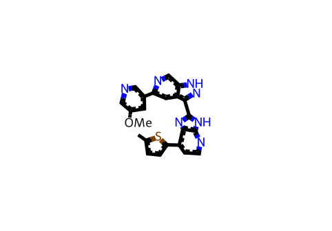 COc1cncc(-c2cc3c(-c4nc5c(-c6ccc(C)s6)ccnc5[nH]4)n[nH]c3cn2)c1